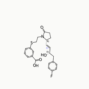 O=C(O)c1cccc(SCCN2C(=O)CC[C@@H]2/C=C/[C@@H](O)Cc2ccc(F)cc2)c1